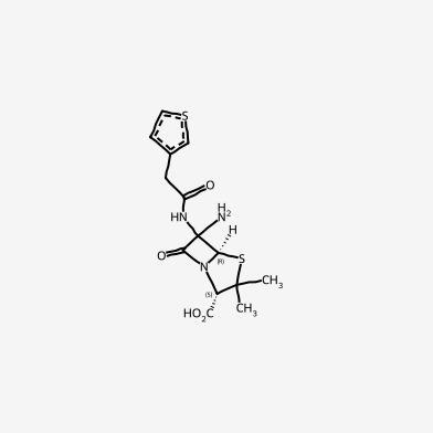 CC1(C)S[C@H]2N(C(=O)C2(N)NC(=O)Cc2ccsc2)[C@H]1C(=O)O